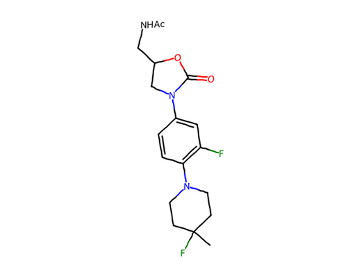 CC(=O)NCC1CN(c2ccc(N3CCC(C)(F)CC3)c(F)c2)C(=O)O1